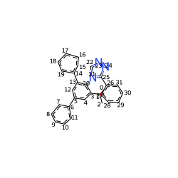 CC(C)c1cc(-c2ccccc2)cc(-c2ccccc2)c1-n1cnnc1-c1ccccc1